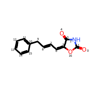 O=C1NC(=O)C(=CC=CCc2ccccc2)O1